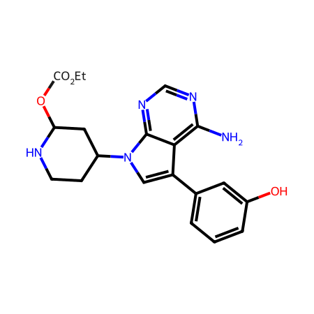 CCOC(=O)OC1CC(n2cc(-c3cccc(O)c3)c3c(N)ncnc32)CCN1